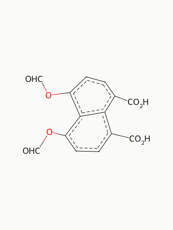 O=COc1ccc(C(=O)O)c2c(C(=O)O)ccc(OC=O)c12